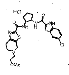 COCCN1CCc2nc(C(=O)N[C@H]3CCC[C@@H]3NC(=O)c3cc4cc(Cl)ccc4[nH]3)sc2C1.Cl